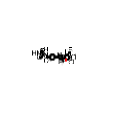 O=C(NC1CONC1=O)c1ccc(C2=NCC(c3cc(Cl)c(Cl)c(C(F)(F)F)c3)(C(F)(F)F)C2)cc1